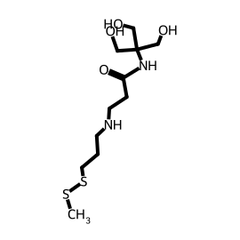 CSSCCCNCCC(=O)NC(CO)(CO)CO